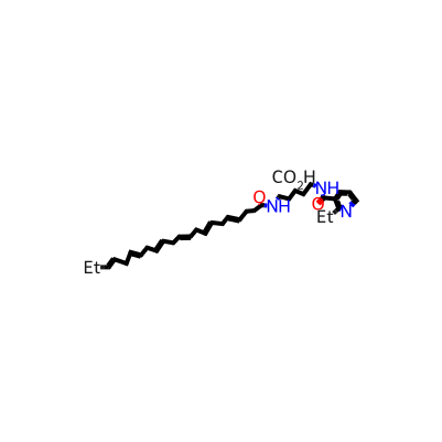 CCC=CCC=CCC=CCC=CCC=CCC=CCCC(=O)NCCCC[C@H](NC(=O)c1cccnc1CC)C(=O)O